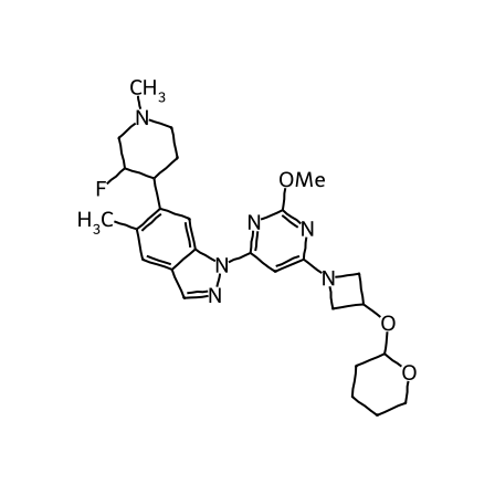 COc1nc(N2CC(OC3CCCCO3)C2)cc(-n2ncc3cc(C)c(C4CCN(C)CC4F)cc32)n1